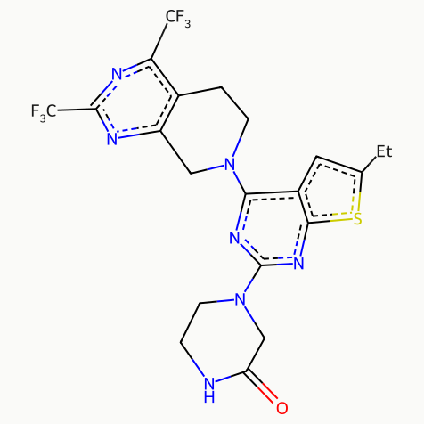 CCc1cc2c(N3CCc4c(nc(C(F)(F)F)nc4C(F)(F)F)C3)nc(N3CCNC(=O)C3)nc2s1